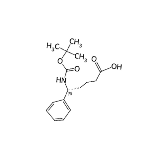 CC(C)(C)OC(=O)N[C@H](CCCC(=O)O)c1ccccc1